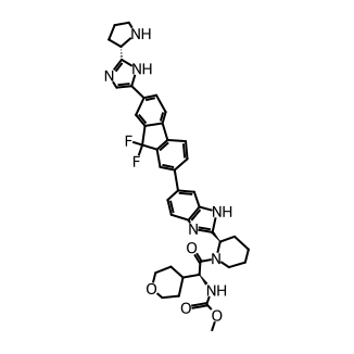 COC(=O)N[C@H](C(=O)N1CCCC[C@@H]1c1nc2ccc(-c3ccc4c(c3)C(F)(F)c3cc(-c5cnc([C@@H]6CCCN6)[nH]5)ccc3-4)cc2[nH]1)C1CCOCC1